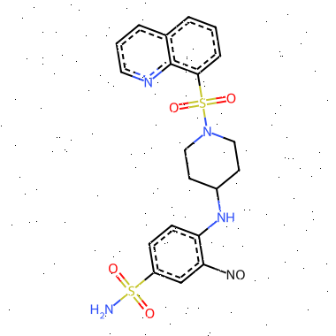 NS(=O)(=O)c1ccc(NC2CCN(S(=O)(=O)c3cccc4cccnc34)CC2)c(N=O)c1